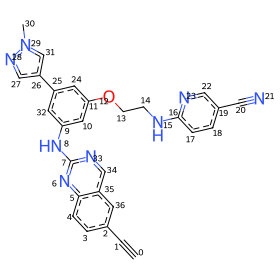 C#Cc1ccc2nc(Nc3cc(OCCNc4ccc(C#N)cn4)cc(-c4cnn(C)c4)c3)ncc2c1